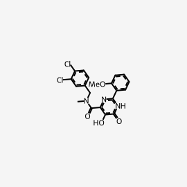 COc1ccccc1-c1nc(C(=O)N(C)Cc2ccc(Cl)c(Cl)c2)c(O)c(=O)[nH]1